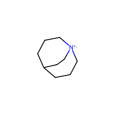 C1CC2CCC[N+](C1)CC2